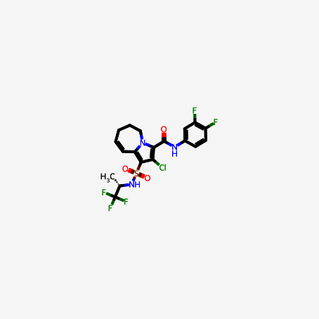 C[C@H](NS(=O)(=O)c1c(Cl)c(C(=O)Nc2ccc(F)c(F)c2)n2c1C=CCCC2)C(F)(F)F